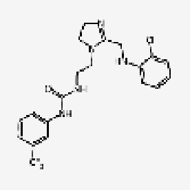 O=C(NCCN1CCN=C1CNc1ccccc1Cl)Nc1cccc(C(F)(F)F)c1